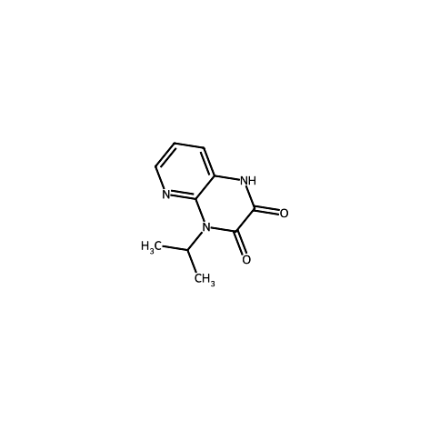 CC(C)n1c(=O)c(=O)[nH]c2cccnc21